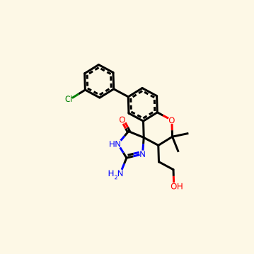 CC1(C)Oc2ccc(-c3cccc(Cl)c3)cc2C2(N=C(N)NC2=O)C1CCO